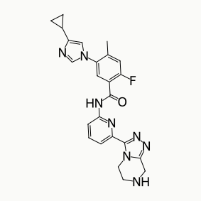 Cc1cc(F)c(C(=O)Nc2cccc(-c3nnc4n3CCNC4)n2)cc1-n1cnc(C2CC2)c1